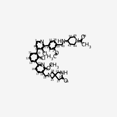 COc1cc(-c2nccc(-c3cccc(-c4ccc(CN5CC6(CNC(=O)C6)C5)c(OC)n4)c3Cl)c2Cl)ccc1CNC1CCN(C(C)=O)CC1